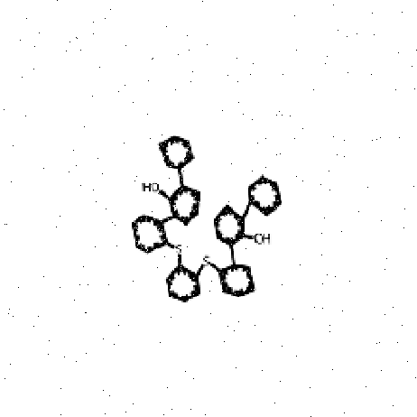 Oc1c(-c2ccccc2)cccc1-c1ccccc1Sc1ccccc1Sc1ccccc1-c1cccc(-c2ccccc2)c1O